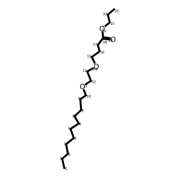 CCCCCCCCCCCOCCOCCCC(=O)OCCC